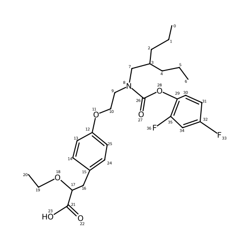 CCCC(CCC)CN(CCOc1ccc(CC(OCC)C(=O)O)cc1)C(=O)Oc1ccc(F)cc1F